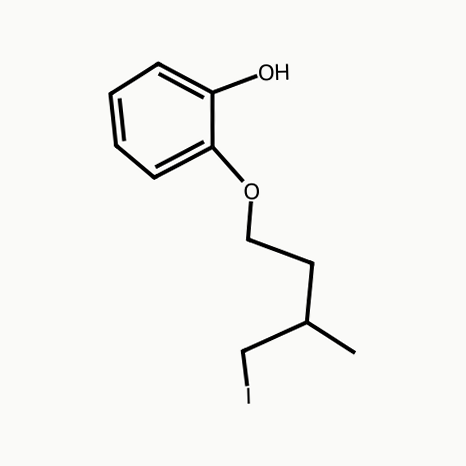 CC(CI)CCOc1ccccc1O